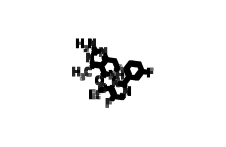 CCOc1nc(-c2cc(F)ccc2[C@H]2Cc3nc(N)nc(C)c3C(=O)N2)ncc1F